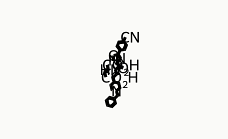 N#Cc1ccc(-c2nc(C(=O)NCCC3CCN(Cc4ccccc4)CC3)no2)cc1.O=C(O)C=CC(=O)O